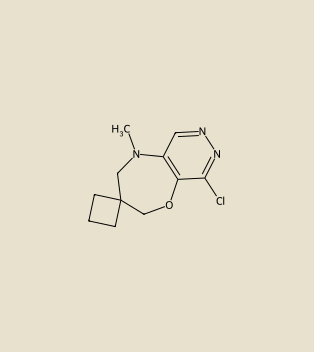 CN1CC2(CCC2)COc2c1cnnc2Cl